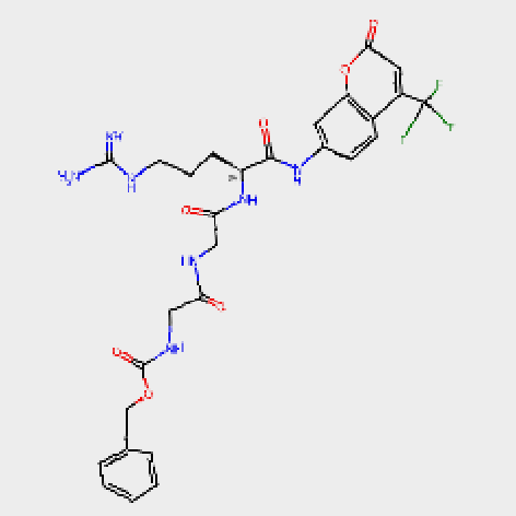 N=C(N)NCCC[C@H](NC(=O)CNC(=O)CNC(=O)OCc1ccccc1)C(=O)Nc1ccc2c(C(F)(F)F)cc(=O)oc2c1